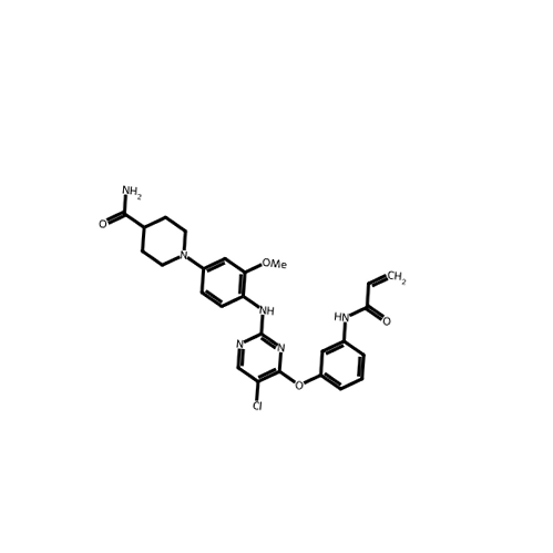 C=CC(=O)Nc1cccc(Oc2nc(Nc3ccc(N4CCC(C(N)=O)CC4)cc3OC)ncc2Cl)c1